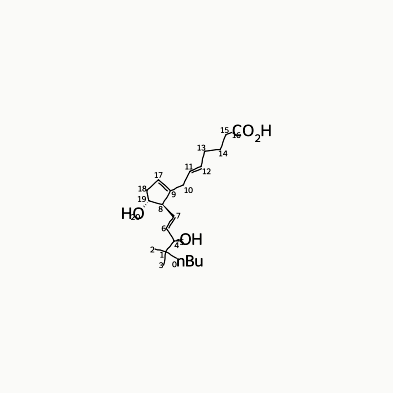 CCCCC(C)(C)[C@H](O)C=C[C@@H]1C(CC=CCCCC(=O)O)=CC[C@H]1O